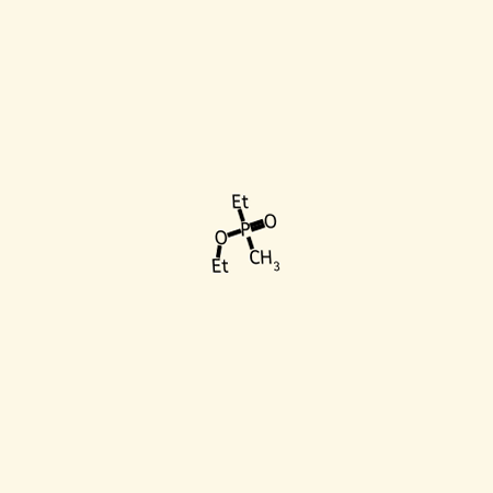 CCOP(C)(=O)CC